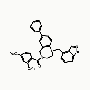 COc1ccc(C(=O)N2CCN(Cc3cccc4[nH]ncc34)c3ccc(-c4ccccc4)cc3C2)c(OC)c1